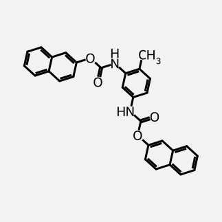 Cc1ccc(NC(=O)Oc2ccc3ccccc3c2)cc1NC(=O)Oc1ccc2ccccc2c1